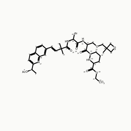 CC(=O)O[C@H](C)c1ccc2ccc(C=CC(C)(C)C(=O)NC(C(=O)NC(COCC3(C)COC3)C(=O)N3CCCC(C(=O)OCC(Cl)(Cl)Cl)N3)C(C)C)cc2n1